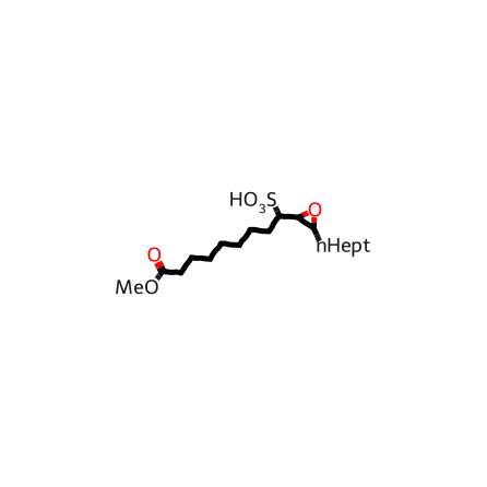 CCCCCCCC1OC1C(CCCCCCCC(=O)OC)S(=O)(=O)O